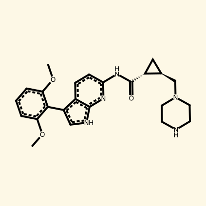 COc1cccc(OC)c1-c1c[nH]c2nc(NC(=O)[C@@H]3C[C@H]3CN3CCNCC3)ccc12